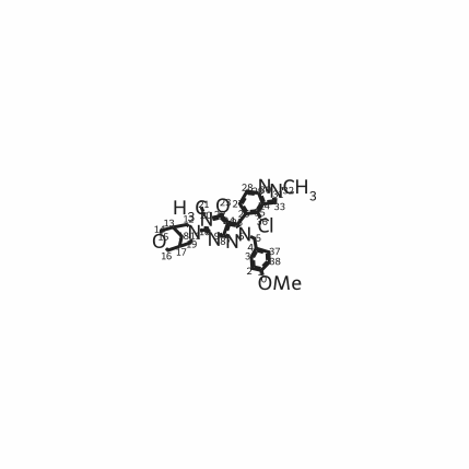 COc1ccc(Cn2nc3nc(N4CC5COCC(C5)C4)n(C)c(=O)c3c2-c2ccc3nn(C)cc3c2Cl)cc1